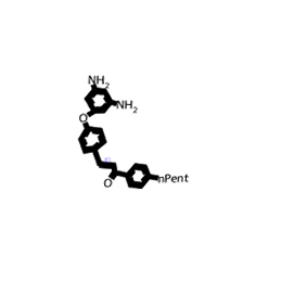 CCCCCc1ccc(C(=O)/C=C/c2ccc(Oc3cc(N)cc(N)c3)cc2)cc1